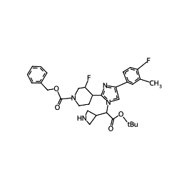 Cc1cc(-c2cn(C(C(=O)OC(C)(C)C)C3CNC3)c(C3CCN(C(=O)OCc4ccccc4)CC3F)n2)ccc1F